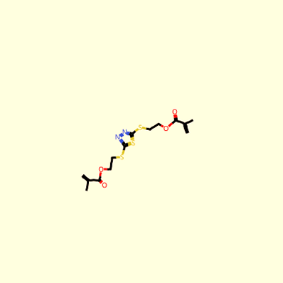 C=C(C)C(=O)OCCSc1nnc(SCCOC(=O)C(=C)C)s1